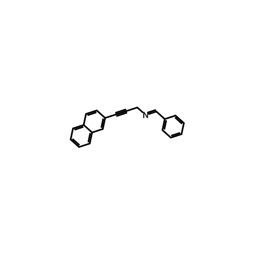 C(#Cc1ccc2ccccc2c1)C/N=C/c1ccccc1